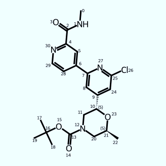 CNC(=O)c1cc(-c2cc([C@H]3CN(C(=O)OC(C)(C)C)C[C@H](C)O3)cc(Cl)n2)ccn1